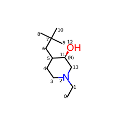 CCN1CCC(CC(C)(C)C)[C@@H](O)C1